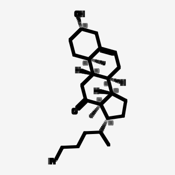 CC(C)CCCC(C)[C@H]1CC[C@H]2[C@@H]3CC=C4C[C@@H](O)CC[C@]4(C)[C@H]3CC(=O)[C@]12C